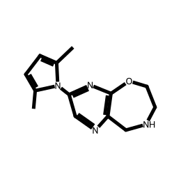 Cc1ccc(C)n1-c1cnc2c(n1)OCCNC2